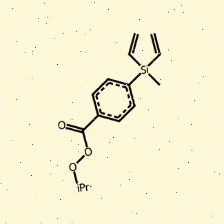 C=C[Si](C)(C=C)c1ccc(C(=O)OO[C](C)C)cc1